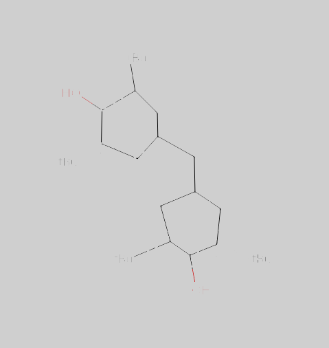 CC(C)(C)C1CC(CC2CC(C(C)(C)C)C(O)[C@@H](C(C)(C)C)C2)C[C@H](C(C)(C)C)C1O